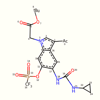 CC(=O)c1cn(CC(=O)OC(C)(C)C)c2cc(OS(=O)(=O)C(F)(F)F)c(NC(=O)NC3CC3)cc12